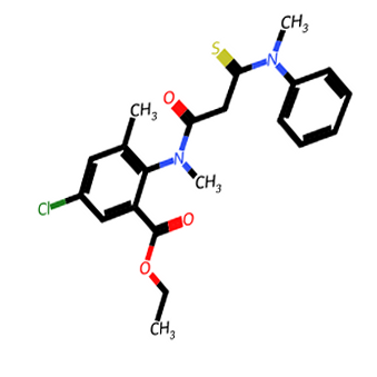 CCOC(=O)c1cc(Cl)cc(C)c1N(C)C(=O)CC(=S)N(C)c1ccccc1